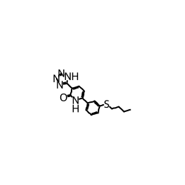 CCCCSc1cccc(-c2ccc(-c3nnn[nH]3)c(=O)[nH]2)c1